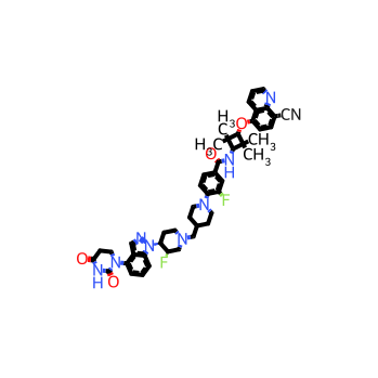 CC1(C)C(NC(=O)c2ccc(N3CCC(CN4CC[C@H](n5ncc6c(N7CCC(=O)NC7=O)cccc65)[C@H](F)C4)CC3)c(F)c2)C(C)(C)C1Oc1ccc(C#N)c2ncccc12